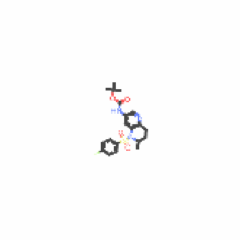 CC1CCc2ncc(NC(=O)OC(C)(C)C)cc2N1S(=O)(=O)c1ccc(F)cc1